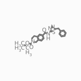 CC(C)(C)OC(=O)N1CCc2cc(C(=O)Nc3nnc(Cc4ccccc4)s3)ccc2C1